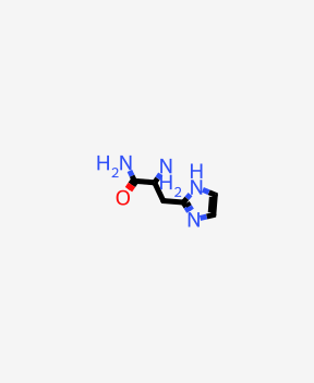 NC(=O)C(N)Cc1ncc[nH]1